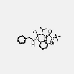 CC(C)C(NC(=O)OC(C)(C)C)C(=O)N(NCc1ccccc1)c1cccc(Br)c1